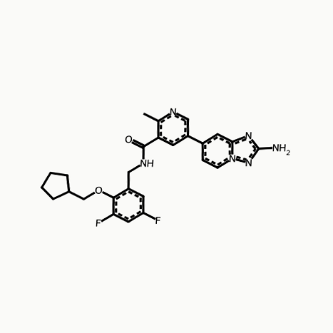 Cc1ncc(-c2ccn3nc(N)nc3c2)cc1C(=O)NCc1cc(F)cc(F)c1OCC1CCCC1